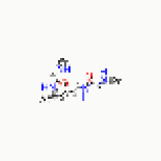 CC(=O)[C@H](CCCCNC(=O)CNC(C)C)NC(=O)CNC(C)C